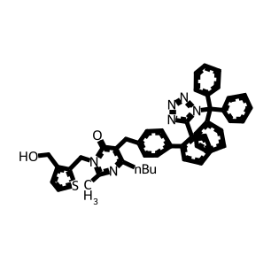 CCCCc1nc(C)n(Cc2sccc2CO)c(=O)c1Cc1ccc(-c2ccccc2-c2nnnn2C(c2ccccc2)(c2ccccc2)c2ccccc2)cc1